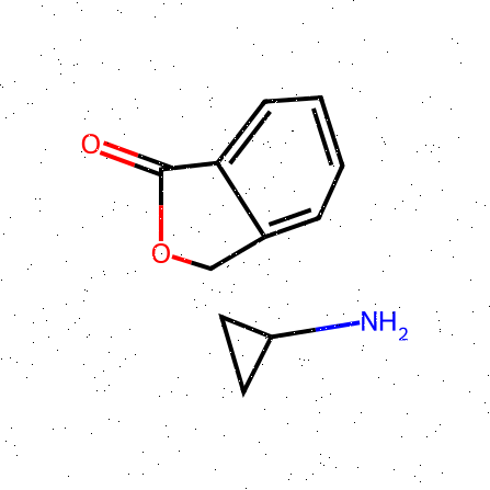 NC1CC1.O=C1OCc2ccccc21